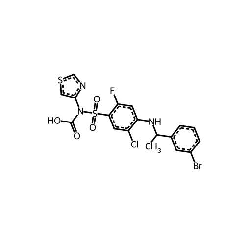 CC(Nc1cc(F)c(S(=O)(=O)N(C(=O)O)c2cscn2)cc1Cl)c1cccc(Br)c1